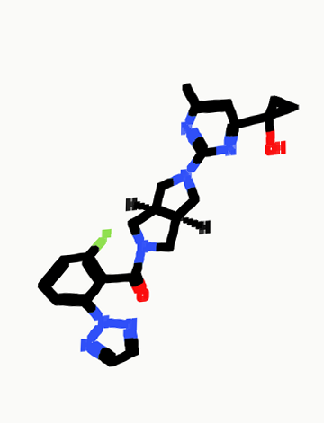 Cc1cc(C2(O)CC2)nc(N2C[C@H]3CN(C(=O)c4c(F)cccc4-n4nccn4)C[C@H]3C2)n1